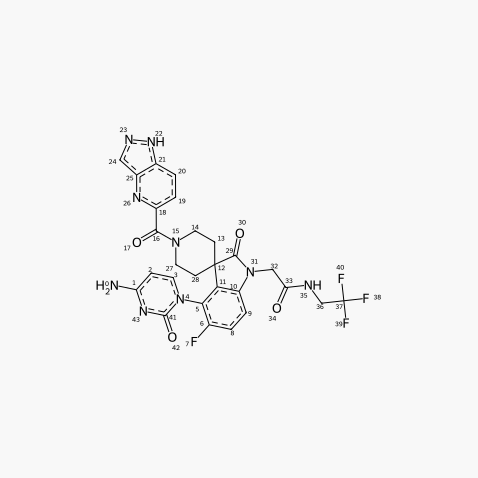 Nc1ccn(-c2c(F)ccc3c2C2(CCN(C(=O)c4ccc5[nH]ncc5n4)CC2)C(=O)N3CC(=O)NCC(F)(F)F)c(=O)n1